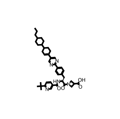 CCCC1CCC(C2CC=C(c3cnc(-c4ccc(C[C@H](NC(=O)c5ccc(C(C)(C)C)nc5)C(=O)N5CC(C(=O)O)C5)cc4)nc3)CC2)CC1